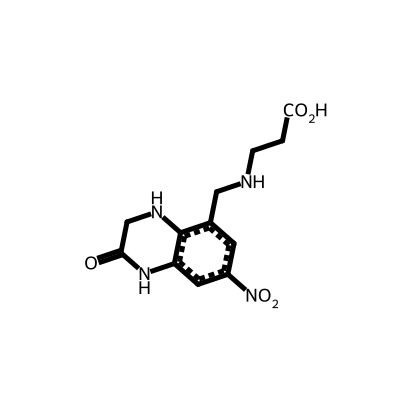 O=C(O)CCNCc1cc([N+](=O)[O-])cc2c1NCC(=O)N2